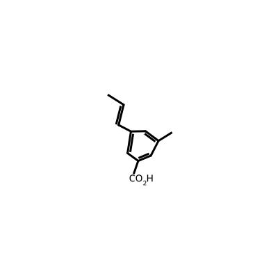 CC=Cc1cc(C)cc(C(=O)O)c1